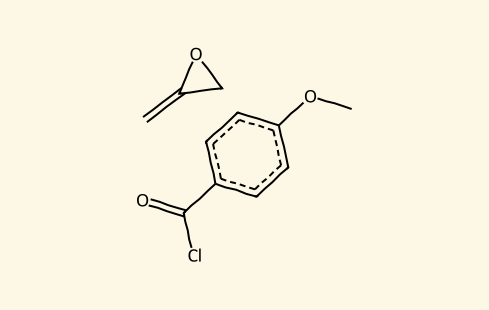 C=C1CO1.COc1ccc(C(=O)Cl)cc1